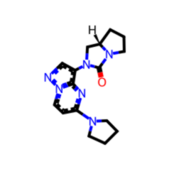 O=C1N(c2cnn3ccc(N4CCCC4)nc23)C[C@@H]2CCCN12